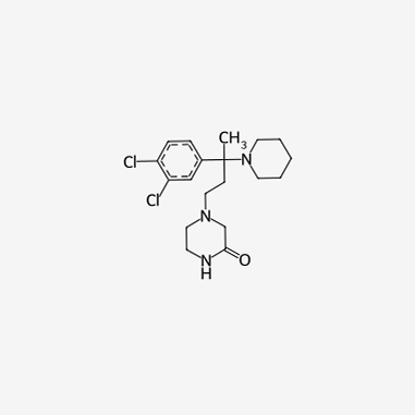 CC(CCN1CCNC(=O)C1)(c1ccc(Cl)c(Cl)c1)N1CCCCC1